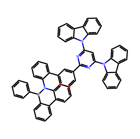 c1ccc(B2c3ccccc3-c3ccccc3N2c2ccccc2-c2cccc(-c3nc(-n4c5ccccc5c5ccccc54)cc(-n4c5ccccc5c5ccccc54)n3)c2)cc1